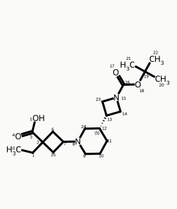 CCC1(C(=O)O)CC(N2CCC[C@@H](C3CN(C(=O)OC(C)(C)C)C3)C2)C1